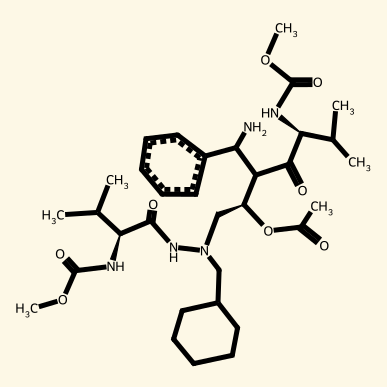 COC(=O)N[C@H](C(=O)NN(CC1CCCCC1)C[C@H](OC(C)=O)C(C(=O)[C@@H](NC(=O)OC)C(C)C)C(N)c1ccccc1)C(C)C